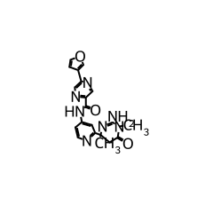 CN1C(=O)CC(C)(c2cc(NC(=O)c3cnc(-c4ccoc4)cn3)ccn2)N=C1N